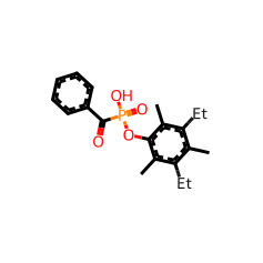 CCc1c(C)c(CC)c(C)c(OP(=O)(O)C(=O)c2ccccc2)c1C